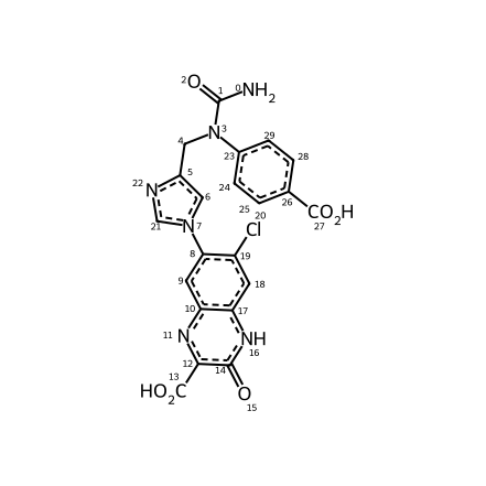 NC(=O)N(Cc1cn(-c2cc3nc(C(=O)O)c(=O)[nH]c3cc2Cl)cn1)c1ccc(C(=O)O)cc1